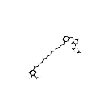 CC(=O)ON(C(N)=O)C1NC(=O)N(Cc2cccc(CCCCOCCCCCCNCC(O)c3ccc(O)c(CO)c3)c2)C1=O